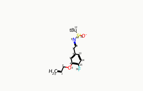 C=CCOc1cc(CC=N[S@@+]([O-])C(C)(C)C)ccc1F